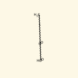 CCCCCCCCC=CCCCCCCCCCCCCCC(=O)OCCCCCCCCCCCCC(=O)O